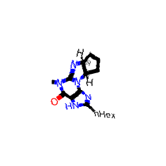 CCCCCCc1nc2c([nH]1)C(=O)N(C)C1=N[C@H]3CCC[C@H]3N12